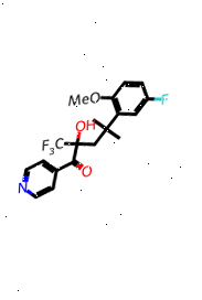 COc1ccc(F)cc1C(C)(C)CC(O)(C(=O)c1ccncc1)C(F)(F)F